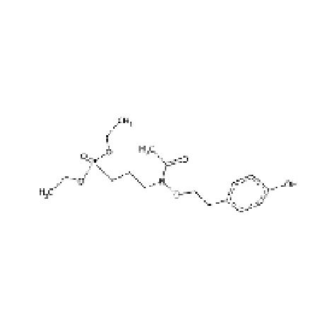 CCOP(=O)(CCCN(OCCc1ccc(O)cc1)C(C)=O)OCC